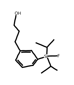 CC(C)[Si](F)(c1cccc(CCCO)c1)C(C)C